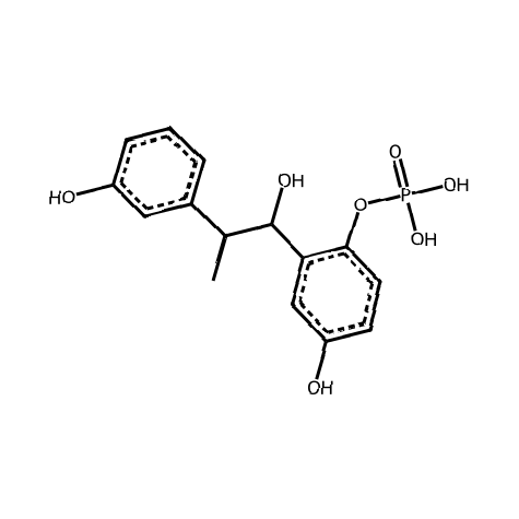 CC(c1cccc(O)c1)C(O)c1cc(O)ccc1OP(=O)(O)O